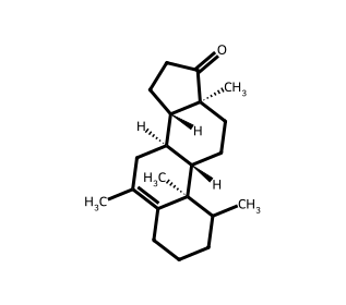 CC1=C2CCCC(C)[C@]2(C)[C@H]2CC[C@]3(C)C(=O)CC[C@H]3[C@@H]2C1